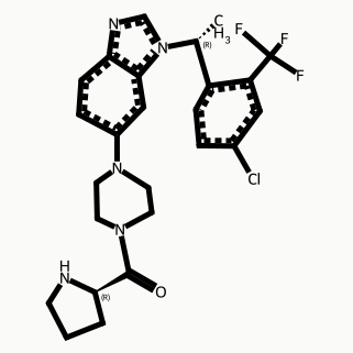 C[C@H](c1ccc(Cl)cc1C(F)(F)F)n1cnc2ccc(N3CCN(C(=O)[C@H]4CCCN4)CC3)cc21